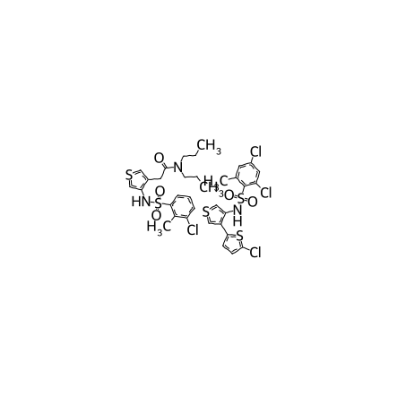 CCCN(CCC)C(=O)Cc1cscc1NS(=O)(=O)c1cccc(Cl)c1C.Cc1cc(Cl)cc(Cl)c1S(=O)(=O)Nc1cscc1-c1ccc(Cl)s1